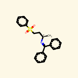 C[C@H](CCS(=O)(=O)c1ccccc1)N=C(c1ccccc1)c1ccccc1